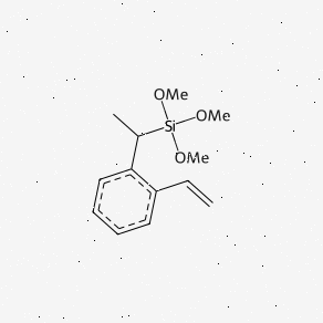 C=Cc1ccccc1C(C)[Si](OC)(OC)OC